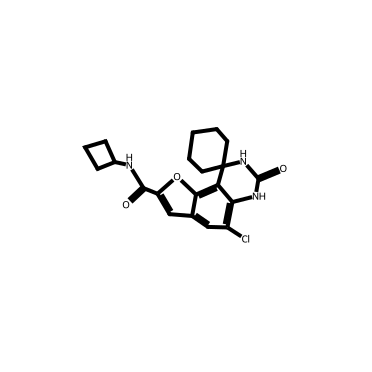 O=C1Nc2c(Cl)cc3cc(C(=O)NC4CCC4)oc3c2C2(CCCCC2)N1